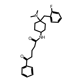 CN(C)C1(Cc2ccccc2F)CCC(NC(=O)CCCC(=O)c2ccccc2)CC1